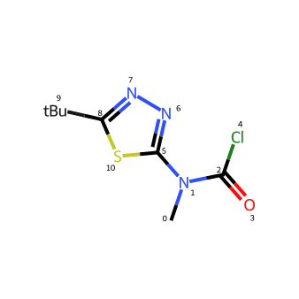 CN(C(=O)Cl)c1nnc(C(C)(C)C)s1